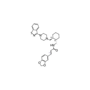 O=C(/C=C/c1ccc2c(c1)OCO2)NC[C@H]1CCCC[C@@H]1CN1CCN(c2nsc3ccccc23)CC1